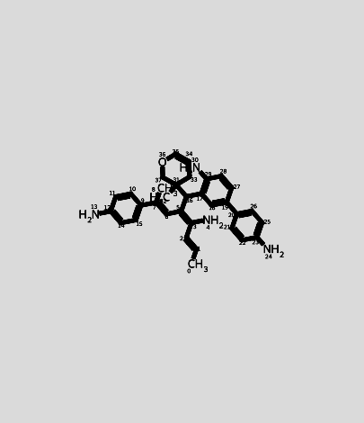 C/C=C/C(N)=C(\C=C(/C)c1ccc(N)cc1)C(c1cc(-c2ccc(N)cc2)ccc1N)C1(C)CC=COC1